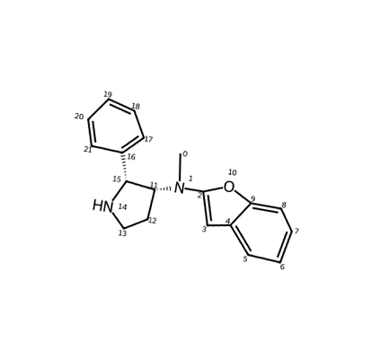 CN(c1cc2ccccc2o1)[C@@H]1CCN[C@@H]1c1ccccc1